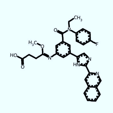 CCN(C(=O)c1cc(N=C(CCC(=O)O)OC)cc(-c2cnc(-c3cc4ccccc4cn3)[nH]2)c1)c1ccc(F)cc1